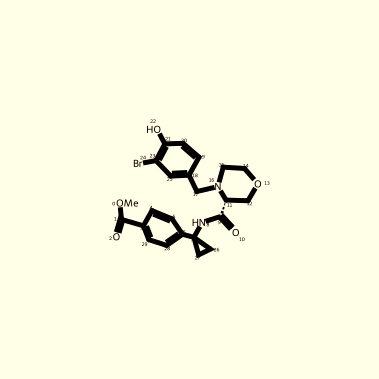 COC(=O)c1ccc(C2(NC(=O)[C@H]3COCCN3Cc3ccc(O)c(Br)c3)CC2)cc1